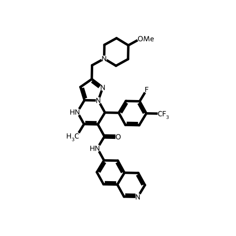 COC1CCN(Cc2cc3n(n2)C(c2ccc(C(F)(F)F)c(F)c2)C(C(=O)Nc2ccc4cnccc4c2)=C(C)N3)CC1